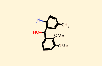 COc1cccc(C(O)c2cc(C)ccc2N)c1OC